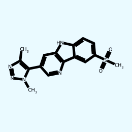 Cc1nnn(C)c1-c1cnc2c(c1)[nH]c1ccc(S(C)(=O)=O)cc12